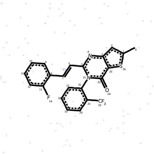 Cc1cc2nc(/C=C/c3ccccc3F)n(-c3ccccc3C(F)(F)F)c(=O)c2s1